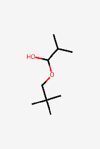 CC(C)C(O)OCC(C)(C)C